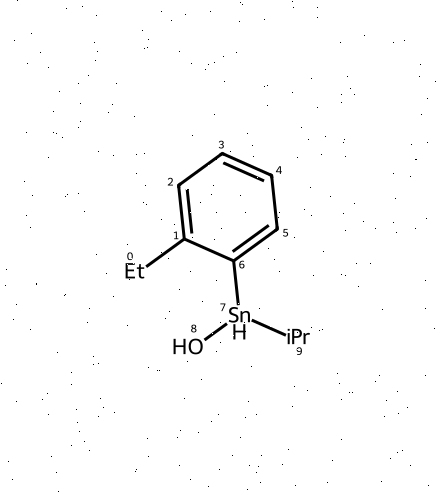 CCc1cccc[c]1[SnH]([OH])[CH](C)C